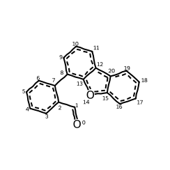 O=Cc1ccccc1-c1cccc2c1oc1ccccc12